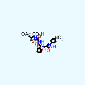 CC(=O)OCC1=C(C(=O)O)N2C(=O)[C@@H](NC(=O)C(NC(=O)c3cn(-c4ccc([N+](=O)[O-])cc4)[nH]c3=O)c3ccccc3)[C@@H]2SC1